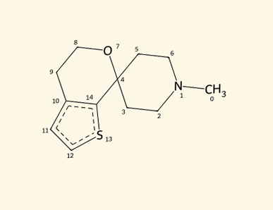 CN1CCC2(CC1)OCCc1ccsc12